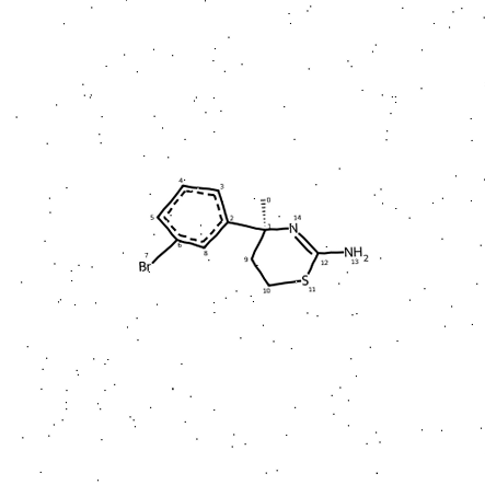 C[C@@]1(c2cccc(Br)c2)CCSC(N)=N1